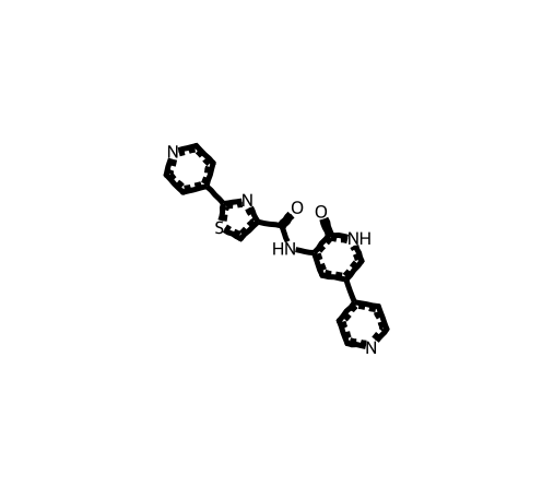 O=C(Nc1cc(-c2ccncc2)c[nH]c1=O)c1csc(-c2ccncc2)n1